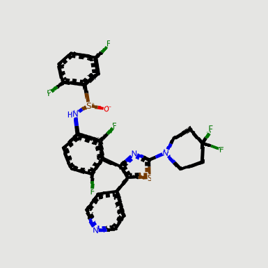 [O-][S+](Nc1ccc(F)c(-c2nc(N3CCC(F)(F)CC3)sc2-c2ccncc2)c1F)c1cc(F)ccc1F